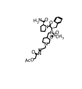 CC(=O)OCC(=O)N=NCN1CCC(CN([C@H](Cc2ccccc2)C(=O)N2CCC[C@H]2C(N)=O)S(C)(=O)=O)CC1